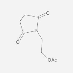 CC(=O)OCCN1C(=O)CCC1=O